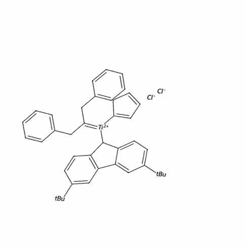 CC(C)(C)c1ccc2c(c1)-c1cc(C(C)(C)C)ccc1[CH]2[Ti+2]([C]1=CC=CC1)=[C](Cc1ccccc1)Cc1ccccc1.[Cl-].[Cl-]